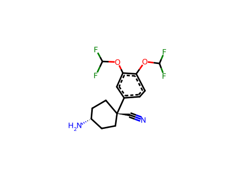 N#C[C@]1(c2ccc(OC(F)F)c(OC(F)F)c2)CC[C@@H](N)CC1